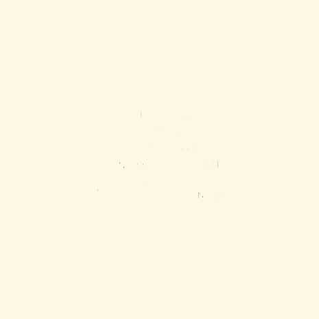 Cc1cc(C2CCN(C)C(C)C2)on1.O=C(O)C(=O)O